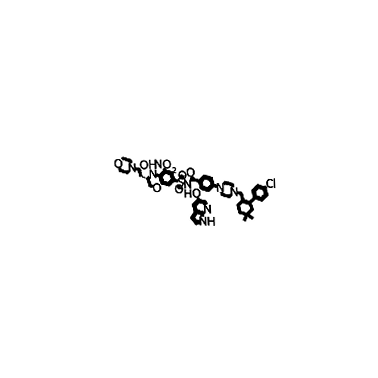 CC1(C)CCC(CN2CCN(c3ccc(C(=O)NS(=O)(=O)c4cc5c(c([N+](=O)[O-])c4)N[C@@H](CC(=O)N4CCOCC4)CO5)c(Oc4cnc5[nH]ccc5c4)c3)CC2)=C(c2ccc(Cl)cc2)C1